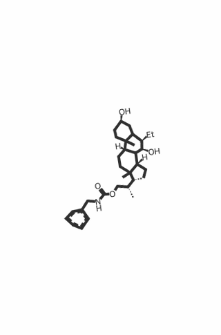 CC[C@@H]1C2C[C@H](O)CCC2(C)[C@H]2CCC3(C)[C@@H]([C@H](C)COC(=O)NCc4ccccc4)CC[C@H]3C2[C@@H]1O